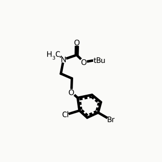 CN(CCOc1ccc(Br)cc1Cl)C(=O)OC(C)(C)C